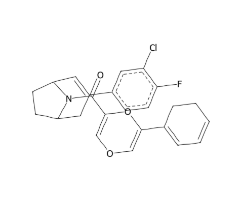 O=C(C1=COC=C(C2=CC=CCC2)O1)N1C2C=C(c3ccc(F)c(Cl)c3)CC1CC2